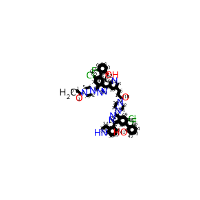 C=CC(=O)N1CCN(c2nnc(-c3cc(C=CC(=O)N4CCN(c5nnc(-c6cccc7[nH]ccc67)c6cc(-c7c(O)cccc7F)c(Cl)cc56)CC4)cnc3C)c3cc(-c4c(O)cccc4F)c(Cl)cc23)CC1